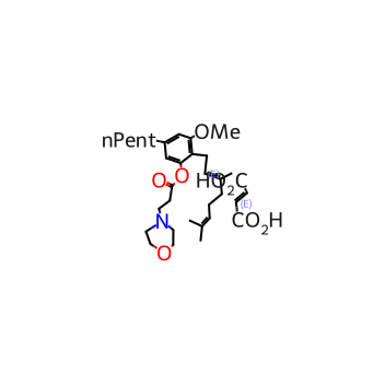 CCCCCc1cc(OC)c(C/C=C(\C)CCC=C(C)C)c(OC(=O)CCN2CCOCC2)c1.O=C(O)/C=C/C(=O)O